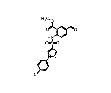 COC(=O)c1cc(C=O)ccc1NS(=O)(=O)c1cnn(-c2ccc(Cl)cc2)c1